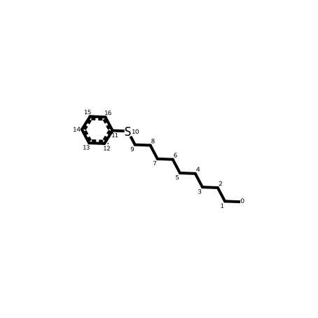 CCCCCCCCCCSc1[c]cccc1